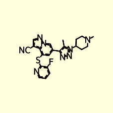 Cc1c(-c2cc(Sc3ncccc3F)c3c(C#N)cnn3c2)nnn1C1CCN(C)CC1